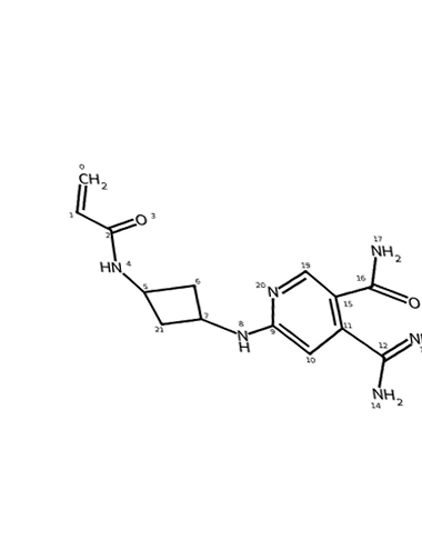 C=CC(=O)NC1CC(Nc2cc(C(=N)N)c(C(N)=O)cn2)C1